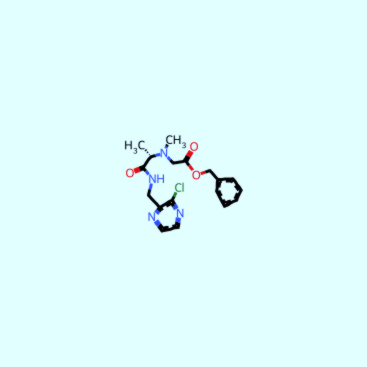 C[C@@H](C(=O)NCc1nccnc1Cl)N(C)CC(=O)OCc1ccccc1